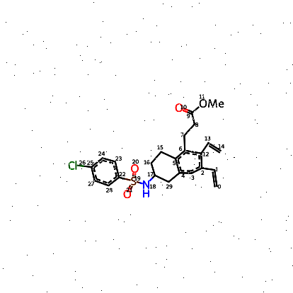 C=Cc1cc2c(c(CCC(=O)OC)c1C=C)CCC(NS(=O)(=O)c1ccc(Cl)cc1)C2